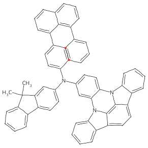 CC1(C)c2ccccc2-c2ccc(N(c3ccc(-c4cccc5cccc(-c6ccccc6)c45)cc3)c3ccc4c(c3)n3c5ccccc5c5ccc6c7ccccc7n4c6c53)cc21